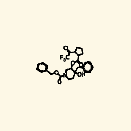 O=C(OC1CN(C(=O)OCc2ccccc2)CCC1(O)Cc1ccccc1)C1CCC[C@@H]1C(=O)C(F)(F)F